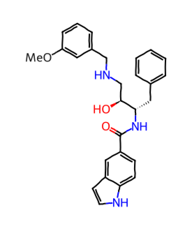 COc1cccc(CNC[C@H](O)[C@H](Cc2ccccc2)NC(=O)c2ccc3[nH]ccc3c2)c1